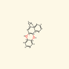 Cc1cc2c(c3ccccc13)Oc1ccccc1O2